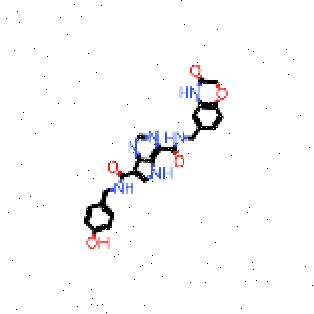 O=C1COc2ccc(CNC(=O)c3ncnc4c(C(=O)NCc5ccc(O)cc5)c[nH]c34)cc2N1